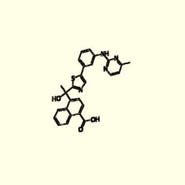 Cc1ccnc(Nc2cccc(-c3cnc(C(C)(O)c4ccc(C(=O)O)c5ccccc45)s3)c2)n1